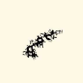 O=C(Nc1ccc(Oc2ccnc(C(=O)NO)n2)cc1)c1ccc(Cl)c(C(F)(F)F)c1